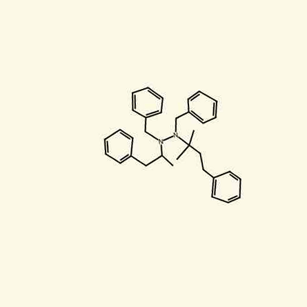 CC(Cc1ccccc1)N(Cc1ccccc1)N(Cc1ccccc1)C(C)(C)CCc1ccccc1